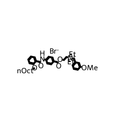 CCCCCCCCOc1ccccc1C(=O)Nc1ccc(C(=O)OCC[N+](CC)(CC)Cc2cccc(OC)c2)cc1.[Br-]